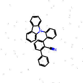 N#Cc1c(-c2ccccc2)cccc1-c1ccccc1-n1c2ccccc2c2ccccc21